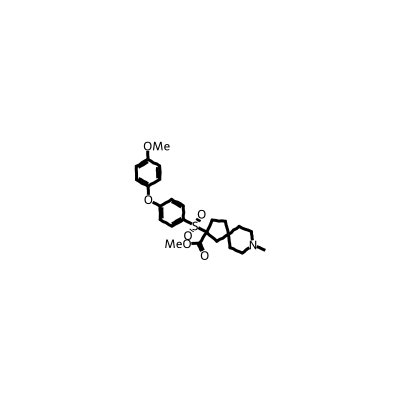 COC(=O)C1(S(=O)(=O)c2ccc(Oc3ccc(OC)cc3)cc2)CCC2(CCN(C)CC2)C1